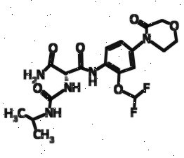 CC(C)NC(=O)N[C@H](C(N)=O)C(=O)Nc1ccc(N2CCOCC2=O)cc1OC(F)F